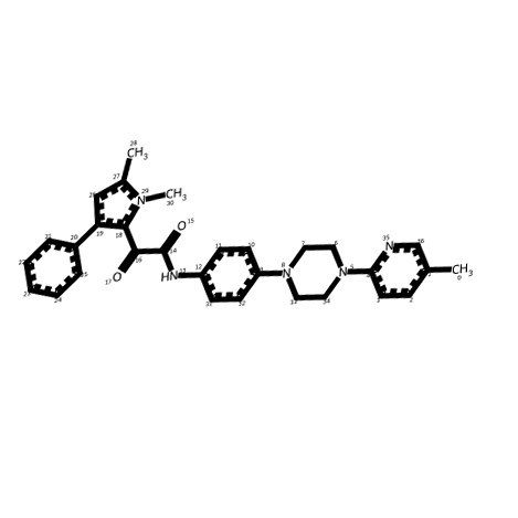 Cc1ccc(N2CCN(c3ccc(NC(=O)C(=O)c4c(-c5ccccc5)cc(C)n4C)cc3)CC2)nc1